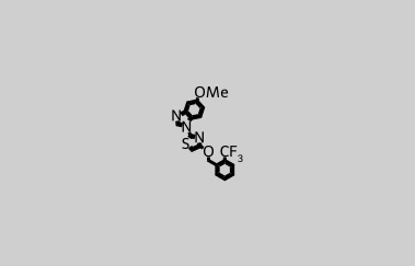 COc1ccc2c(c1)ncn2-c1nc(OCc2ccccc2C(F)(F)F)cs1